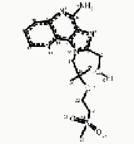 CCOCc1nc2c(N)nc3cccnc3c2n1CC(C)(C)OCCS(C)(=O)=O